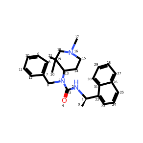 C[C@@H](NC(=O)N(Cc1ccccc1)C1CCN(C)CC1(C)C)c1cccc2ccccc12